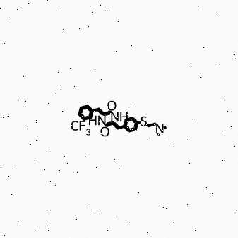 CN(C)CCSc1ccc(C=c2[nH]c(=O)c(=Cc3cccc(C(F)(F)F)c3)[nH]c2=O)cc1